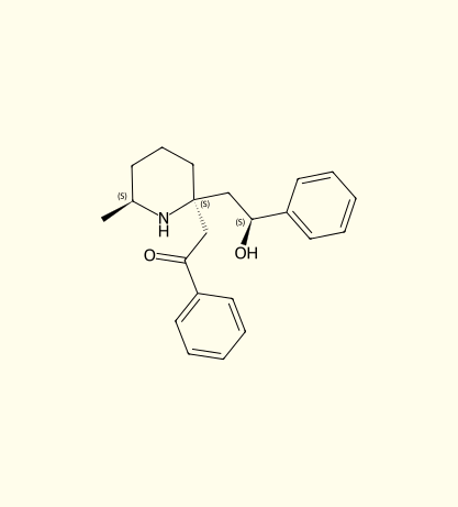 C[C@H]1CCC[C@@](CC(=O)c2ccccc2)(C[C@H](O)c2ccccc2)N1